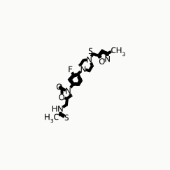 CC(=S)NCC1CN(c2ccc(N3CCN(C(=S)c4cc(C)no4)CC3)c(F)c2)C(=O)O1